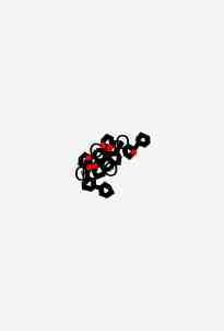 O=P(c1ccccc1)(c1cccc(-c2ccccc2)c1)c1ccc2c(c1)C1(c3ccccc3Oc3ccccc31)c1cc(P(=O)(c3ccccc3)c3cccc(-c4ccccc4)c3)ccc1O2